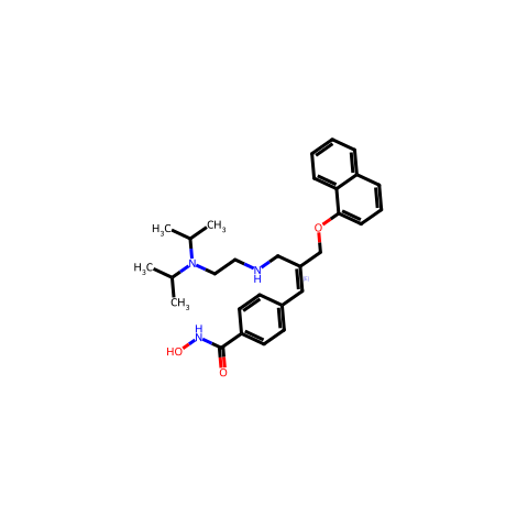 CC(C)N(CCNC/C(=C\c1ccc(C(=O)NO)cc1)COc1cccc2ccccc12)C(C)C